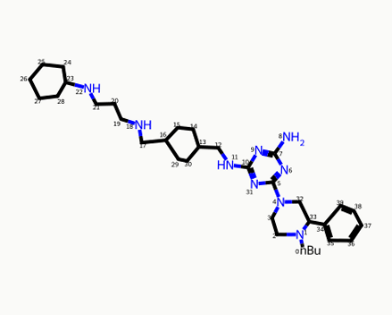 CCCCN1CCN(c2nc(N)nc(NCC3CCC(CNCCCNC4CCCCC4)CC3)n2)CC1c1ccccc1